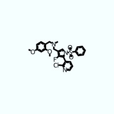 COc1ccc(CN(C)Cc2cn(S(=O)(=O)c3ccccc3)c(-c3cccnc3Cl)c2F)c(OC)c1